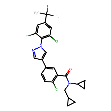 O=C(c1cc(-c2cnn(-c3c(Cl)cc(C(F)(C(F)(F)F)C(F)(F)F)cc3Cl)c2)ccc1Cl)N(CC1CC1)C1CC1